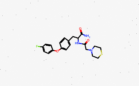 NC(=O)C(Cc1ccc(Oc2ccc(F)cc2)cc1)NC(=O)CN1CCSCC1